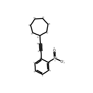 O=[N+]([O-])c1ccccc1C#CC1CCCCCC1